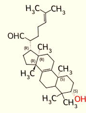 CC(C)=CCCC(C=O)[C@H]1CC[C@@]2(C)C3=C(CC[C@]12C)[C@@]1(C)CC[C@H](O)C(C)(C)C1CC3